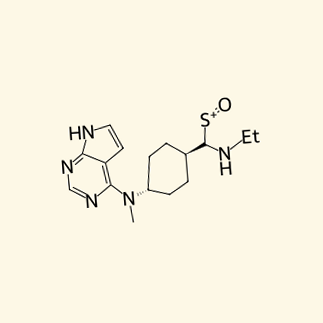 CCNC([S+]=O)[C@H]1CC[C@H](N(C)c2ncnc3[nH]ccc23)CC1